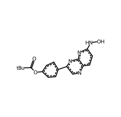 CC(C)(C)C(=O)Oc1ccc(-c2cnc3ccc(NO)nc3n2)cc1